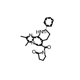 Cc1nc2c3c(c(C(=O)N4CCCC4=O)cn2c1C)CC[C@@H](c1ccccc1)N3